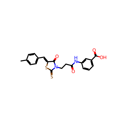 Cc1ccc(/C=C2\SC(=S)N(CCC(=O)Nc3cccc(C(=O)O)c3)C2=O)cc1